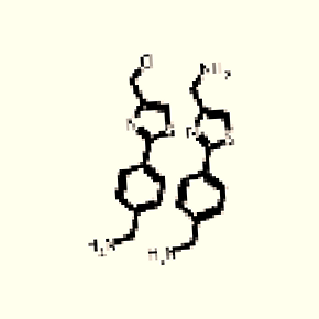 NCc1ccc(-c2nc(CCl)cs2)cc1.NCc1ccc(-c2nc(CN)cs2)cc1